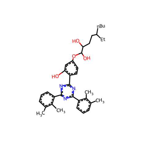 CCCCC(CC)CCC(O)C(O)Oc1ccc(-c2nc(-c3cccc(C)c3C)nc(-c3cccc(C)c3C)n2)c(O)c1